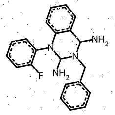 NC1c2ccccc2N(c2ccccc2F)C(N)N1Cc1ccccc1